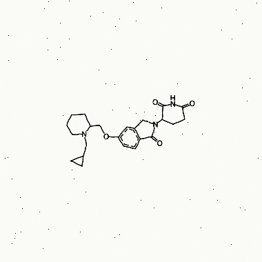 O=C1CCC(N2Cc3cc(OCC4CCCCN4CC4CC4)ccc3C2=O)C(=O)N1